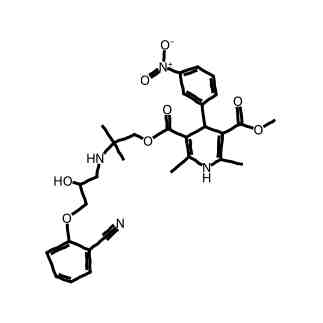 COC(=O)C1=C(C)NC(C)=C(C(=O)OCC(C)(C)NCC(O)COc2ccccc2C#N)C1c1cccc([N+](=O)[O-])c1